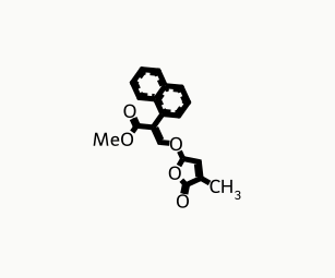 COC(=O)/C(=C/OC1C=C(C)C(=O)O1)c1cccc2ccccc12